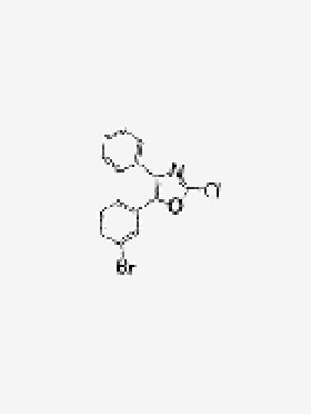 Clc1nc(-c2ccccc2)c(-c2cccc(Br)c2)o1